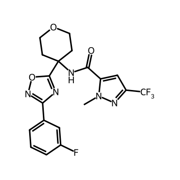 Cn1nc(C(F)(F)F)cc1C(=O)NC1(c2nc(-c3cccc(F)c3)no2)CCOCC1